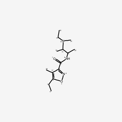 CCc1onc(C(=O)NC(C)C(C)N(C)CC)c1C